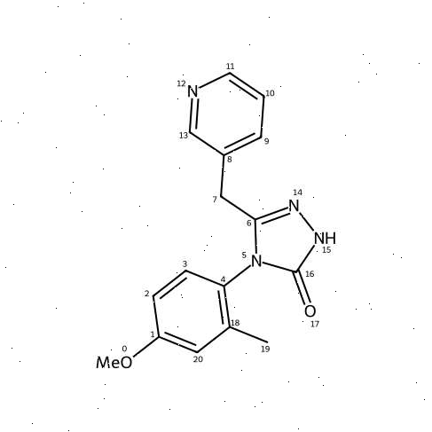 COc1ccc(-n2c(Cc3cccnc3)n[nH]c2=O)c(C)c1